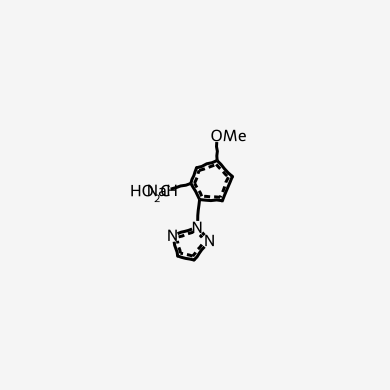 COc1ccc(-n2nccn2)c(C(=O)O)c1.[NaH]